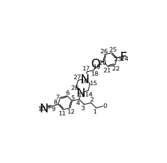 CCCCC(c1ccc(C#N)cc1)N1CCN(CCOc2ccc(F)cc2)CC1